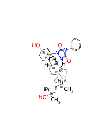 CC(C)[C@](C)(O)C=C[C@@H](C)[C@H]1CC[C@@H]2[C@]1(C)CC[C@H]1[C@@]23C=C[C@@]2(C[C@@H](O)CC[C@]12C)n1c(=O)n(-c2ccccc2)c(=O)n13